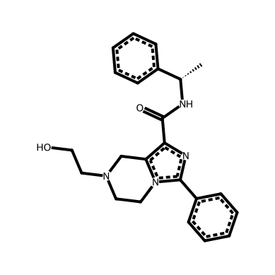 C[C@H](NC(=O)c1nc(-c2ccccc2)n2c1CN(CCO)CC2)c1ccccc1